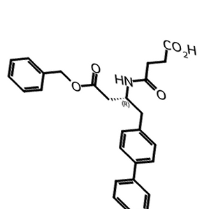 O=C(O)CCC(=O)N[C@@H](CC(=O)OCc1ccccc1)Cc1ccc(-c2cccc(Cl)c2)cc1